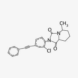 CC1CCCC2C(=O)N(c3ccc(C#Cc4ccccc4)cc3Cl)C(=O)N12